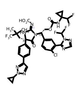 CC(C)(C[C@]1(c2ccc(-c3cnn(C4CC4)n3)cc2)N/C(=N\C(=O)O)N([C@H](COC(=O)NC2(C(F)F)CC2)c2ccc(Cl)c(-c3ncnn3C(F)F)c2)C1=O)C(F)(F)F